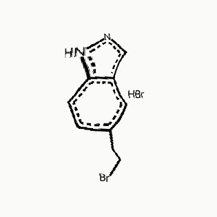 Br.BrCc1ccc2[nH]ncc2c1